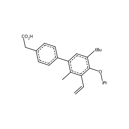 C=Cc1c(C)c(-c2ccc(CC(=O)O)cc2)cc(C(C)(C)C)c1OC(C)C